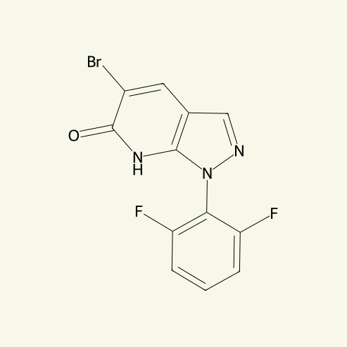 O=c1[nH]c2c(cnn2-c2c(F)cccc2F)cc1Br